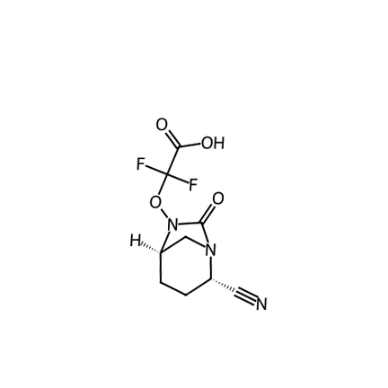 N#C[C@@H]1CC[C@@H]2CN1C(=O)N2OC(F)(F)C(=O)O